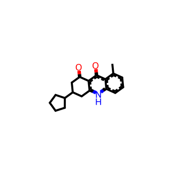 Cc1cccc2[nH]c3c(c(=O)c12)C(=O)CC(C1CCCC1)C3